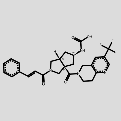 O=C(O)N[C@@H]1C[C@H]2CN(C(=O)C=Cc3ccccc3)C[C@@]2(C(=O)N2CCc3ncc(C(F)(F)F)cc3C2)C1